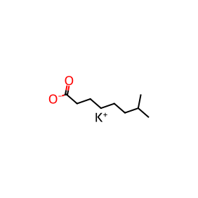 CC(C)CCCCCC(=O)[O-].[K+]